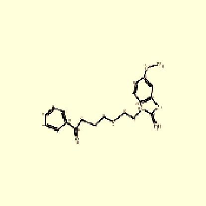 N=c1sc2cc(OC(F)(F)F)ccc2n1CCSCCCC(=O)c1ccccc1